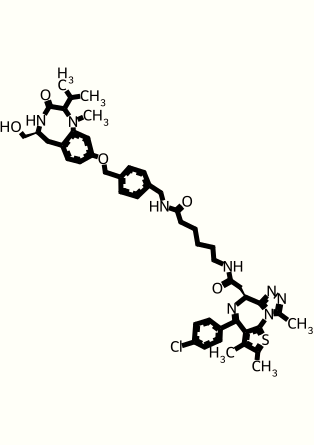 Cc1sc2c(c1C)C(c1ccc(Cl)cc1)=N[C@@H](CC(=O)NCCCCCC(=O)NCc1ccc(COc3ccc4c(c3)N(C)C(C(C)C)C(=O)N[C@H](CO)C4)cc1)c1nnc(C)n1-2